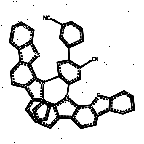 N#Cc1cccc(-c2cc(-n3c4ccccc4c4ccc5c6ccccc6sc5c43)c(-n3c4ccccc4c4ccc5c6ccccc6sc5c43)cc2C#N)c1